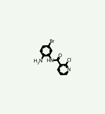 Nc1ccc(Br)cc1NC(=O)c1cccnc1Cl